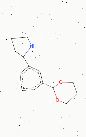 c1cc(C2CCCN2)cc(C2OCCCO2)c1